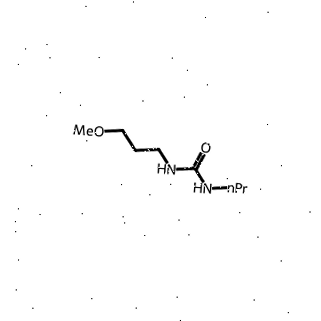 [CH2]CCNC(=O)NCCCOC